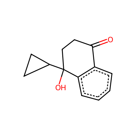 O=C1CCC(O)(C2CC2)c2ccccc21